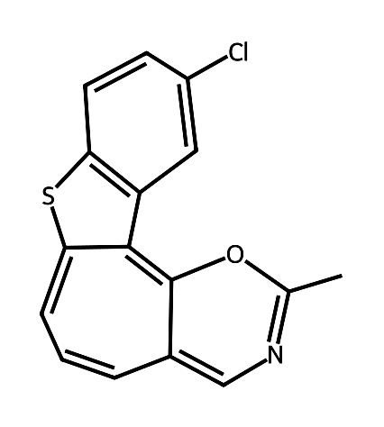 CC1=NC=C2C=CC=c3sc4ccc(Cl)cc4c3=C2O1